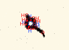 CCCCCOc1ccc(-c2ccc(-c3ccc(C(=O)N[C@H]4C[C@@H](O)[C@@H](O)NC(=O)[C@@H]5[C@@H](O)[C@@H](C)CN5[C@H](C)[C@H]([C@@H](C)O)NC(=O)[C@H]([C@H](O)[C@@H](O)c5ccc(O)cc5)NC(=O)[C@@H]5C[C@@H](O)CN5C(=O)C([C@@H](C)O)NC4=O)cc3)cc2)cc1